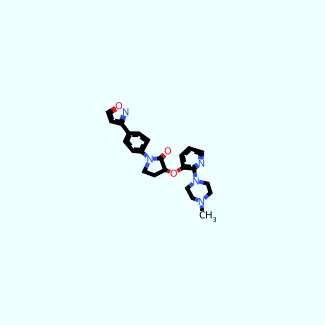 CN1CCN(c2ncccc2OC2CCN(c3ccc(-c4ccon4)cc3)C2=O)CC1